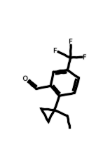 CCC1(c2ccc(C(F)(F)F)cc2C=O)CC1